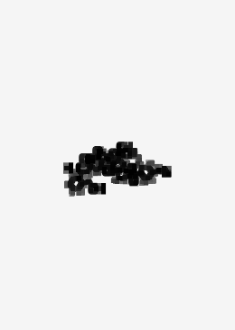 CC(C)C1(CCc2ccccc2CO)CC(O)=C(Sc2cc3c(cc2C(C)(C)C)N(S(=O)(=O)c2ccc(C#N)cc2)CC3)C(=O)O1